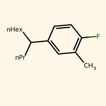 CCCCCCC(CCC)c1ccc(F)c(C)c1